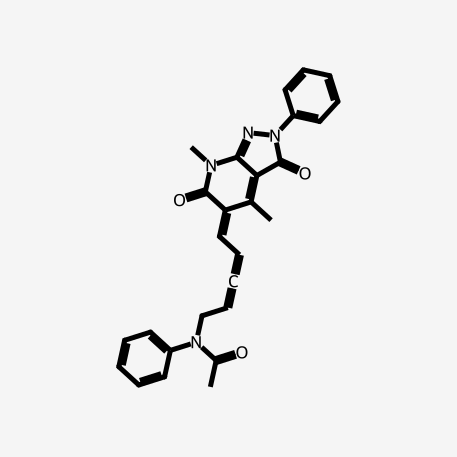 CC(=O)N(CC=C=C/C=c1\c(C)c2c(n(C)c1=O)=NN(c1ccccc1)C2=O)c1ccccc1